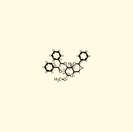 CO[C@H]1OC2COC(c3ccccc3)O[C@H]2[C@H](OCc2ccccc2)[C@H]1OCc1ccccc1